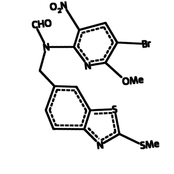 COc1nc(N(C=O)Cc2ccc3nc(SC)sc3c2)c([N+](=O)[O-])cc1Br